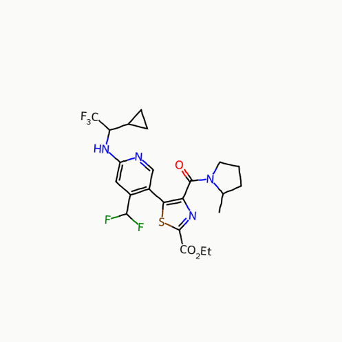 CCOC(=O)c1nc(C(=O)N2CCCC2C)c(-c2cnc(NC(C3CC3)C(F)(F)F)cc2C(F)F)s1